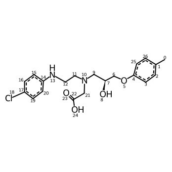 Cc1ccc(OC[C@@H](O)CN(CCNc2ccc(Cl)cc2)CC(=O)O)cc1